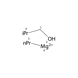 CC(C)CO.CC[CH2][Mg+2]